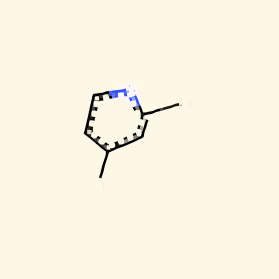 [CH2]c1ccnc(CC)c1